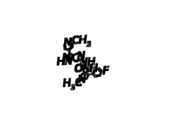 Cc1cc(-c2n[nH]c3cc(NC(=O)N[C@H]4CN(C)C[C@@H]4c4ccc(F)cc4)ncc23)ccn1